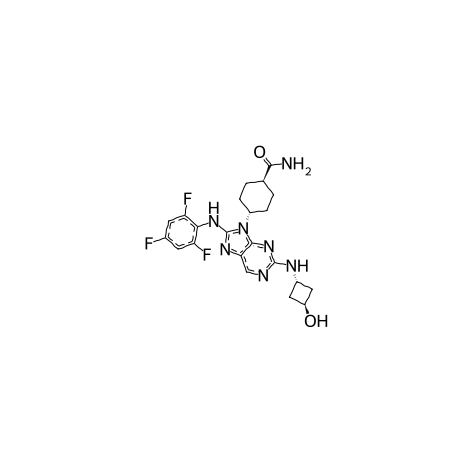 NC(=O)[C@H]1CC[C@H](n2c(Nc3c(F)cc(F)cc3F)nc3cnc(N[C@H]4C[C@H](O)C4)nc32)CC1